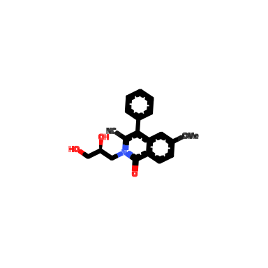 COc1ccc2c(=O)n(C[C@H](O)CO)c(C#N)c(-c3ccccc3)c2c1